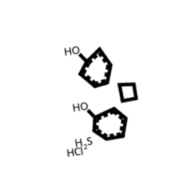 C1CCC1.Cl.Oc1ccccc1.Oc1ccccc1.S